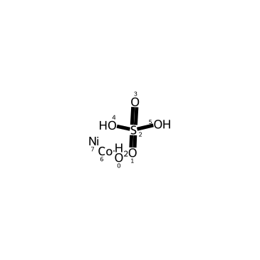 O.O=S(=O)(O)O.[Co].[Ni]